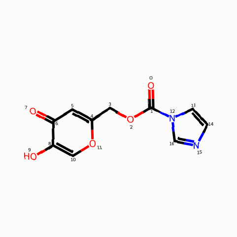 O=C(OCc1cc(=O)c(O)co1)n1ccnc1